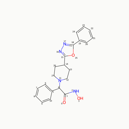 O=C(NO)C(c1ccccc1)N1CCC(c2nnc(-c3ccccc3)o2)CC1